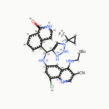 CC(C)(C)CNc1c(C#N)cnc2c(Cl)cc(N[C@H](C3=CN(C4(C(F)(F)F)CC4)NN3)c3cccc4c(=O)[nH]ccc34)cc12